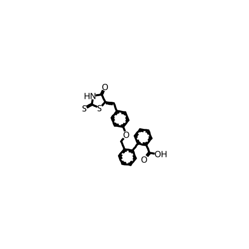 O=C1NC(=S)S/C1=C\c1ccc(OCc2ccccc2-c2ccccc2C(=O)O)cc1